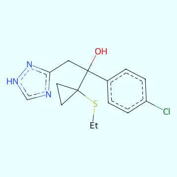 CCSC1(C(O)(Cc2nc[nH]n2)c2ccc(Cl)cc2)CC1